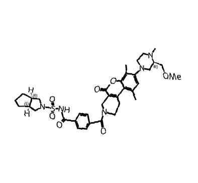 COC[C@H]1CN(c2cc(C)c3c4c(c(=O)oc3c2C)CN(C(=O)c2ccc(C(=O)NS(=O)(=O)N3C[C@H]5CCC[C@H]5C3)cc2)CC4)CCN1C